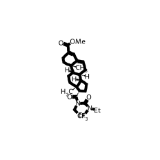 CCN(CC)C(=O)N(CC(F)(F)F)C(=O)[C@H]1CC[C@H]2[C@@H]3CC=C4C=C(C(=O)OC)CC[C@]4(C)[C@H]3CC[C@]12C